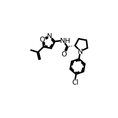 C=C(C)c1cc(NC(=O)[C@@H]2CCCN2c2ccc(Cl)cc2)no1